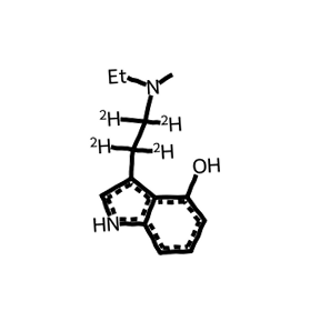 [2H]C([2H])(c1c[nH]c2cccc(O)c12)C([2H])([2H])N(C)CC